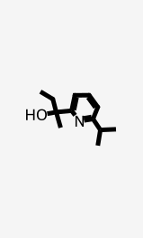 CCC(C)(O)c1cccc(C(C)C)n1